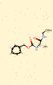 COCNC(=O)[C@@H](NC(=O)OCc1ccccc1)C(C)C